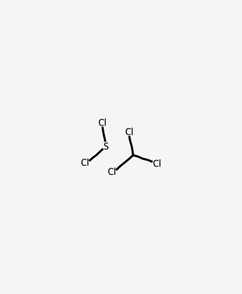 ClC(Cl)Cl.ClSCl